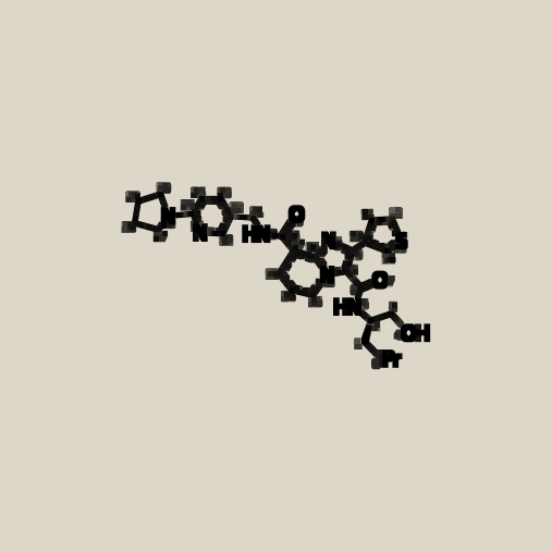 CC(C)C[C@H](CO)NC(=O)c1c(-c2ccsc2)nc2c(C(=O)NCc3ccc(N4CCCC4)nc3)cccn12